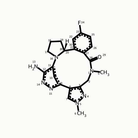 CN1Cc2nn(C)cc2-c2cc(c(N)nn2)N2CCC[C@@H]2c2cc(F)ccc2C1=O